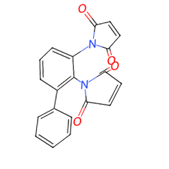 O=C1C=CC(=O)N1c1cccc(-c2ccccc2)c1N1C(=O)C=CC1=O